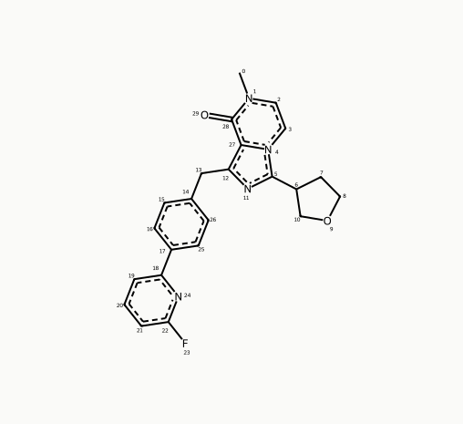 Cn1ccn2c(C3CCOC3)nc(Cc3ccc(-c4cccc(F)n4)cc3)c2c1=O